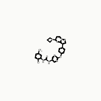 O=C(Nc1cnc(Oc2ccc(-c3cnn4ccc(N5CCC5)nc34)cc2)nc1)Nc1cc(C(F)(F)F)ccc1Cl